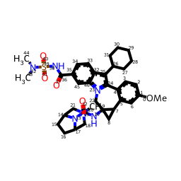 COc1ccc2c(c1)C1CC1(NC(=O)N1C3CCC1CN(C)C3)Cn1c-2c(C2CCCCC2)c2ccc(C(=O)NS(=O)(=O)N(C)C)cc21